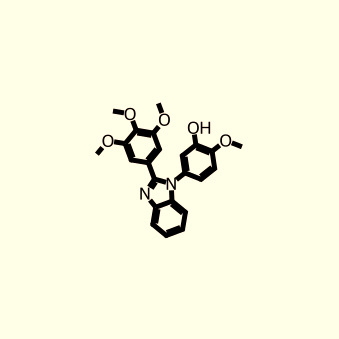 COc1ccc(-n2c(-c3cc(OC)c(OC)c(OC)c3)nc3ccccc32)cc1O